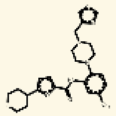 O=C(Nc1cc(C(F)(F)F)ccc1N1CCN(Cc2cscn2)CC1)c1ccc(C2CCOCC2)o1